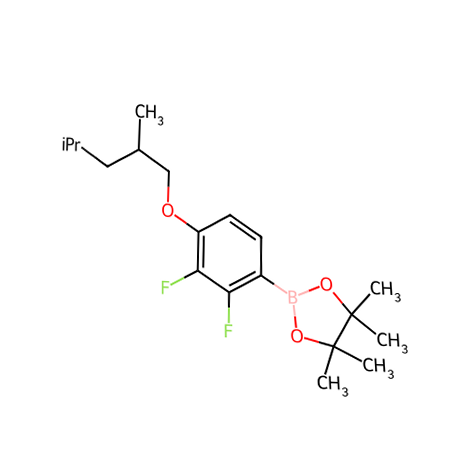 CC(C)CC(C)COc1ccc(B2OC(C)(C)C(C)(C)O2)c(F)c1F